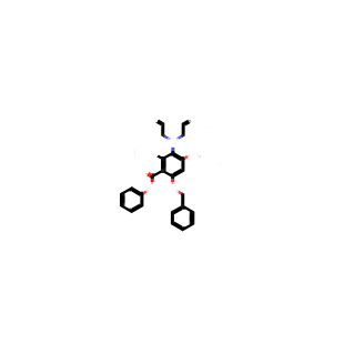 C=CCN(CC=C)c1c(OC)cc(OCc2ccccc2)c(C(=O)Oc2ccccc2)c1C